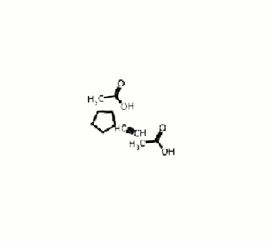 C#C.C1CCCC1.CC(=O)O.CC(=O)O